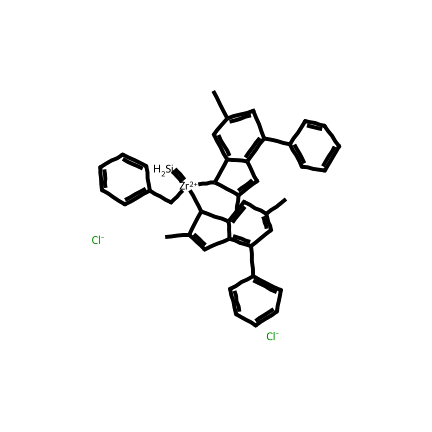 CC1=Cc2c(-c3ccccc3)cc(C)cc2[CH]1[Zr+2](=[SiH2])([CH2]c1ccccc1)[CH]1C(C)=Cc2c(-c3ccccc3)cc(C)cc21.[Cl-].[Cl-]